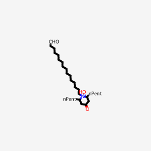 CCCCCC1CC(=O)CC(CCCCC)[N+]1(O)CCCCCCCCCCCCCCCC=O